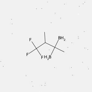 BC(B)(C)C(C)C(F)(F)F